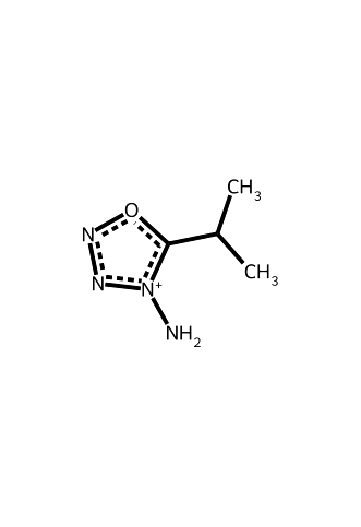 CC(C)c1onn[n+]1N